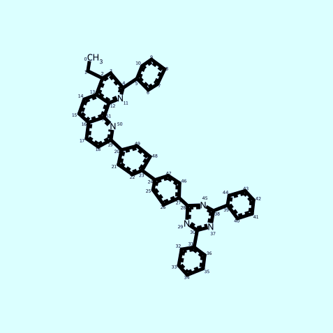 CCc1cc(-c2ccccc2)nc2c1ccc1ccc(-c3ccc(-c4ccc(-c5nc(-c6ccccc6)nc(-c6ccccc6)n5)cc4)cc3)nc12